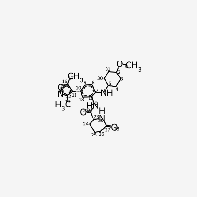 COC1CCC(Nc2ccc(-c3c(C)noc3C)cc2NC(=O)[C@@H]2CCCC(=O)N2)CC1